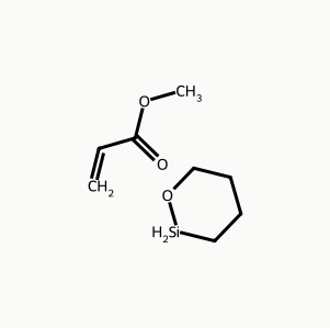 C1CC[SiH2]OC1.C=CC(=O)OC